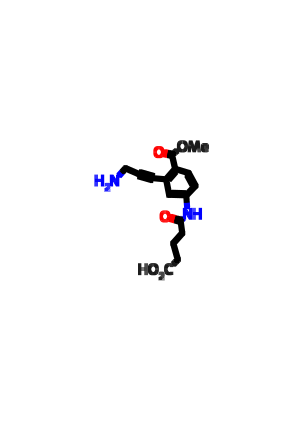 COC(=O)c1ccc(NC(=O)CCCC(=O)O)cc1C#CCN